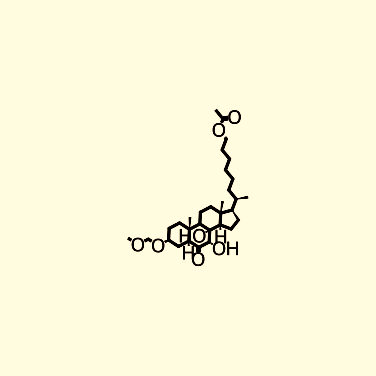 COCO[C@H]1CC[C@]2(C)C3CC[C@]4(C)[C@@H]([C@H](C)CCCCCCOC(C)=O)CC[C@H]4[C@@]3(O)[C@H](O)C(=O)[C@H]2C1